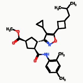 COC(=O)[C@@H]1C[C@H](C(=O)Nc2ccc(C)cc2C)[C@@H](c2noc(C3CC(CC(C)C)C3)c2C2CC2)C1